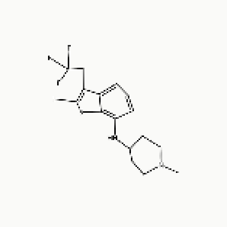 CN1CCC(Nc2cccc3c(CC(F)(F)F)c(I)sc23)CC1